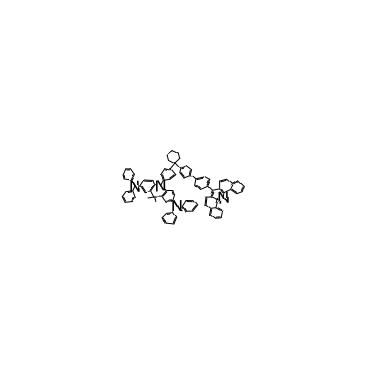 CC1(C)c2cc(N(c3ccccc3)c3ccccc3)ccc2N(c2ccc(C3(c4ccc(-c5ccc(-c6c7ccc8ccccc8c7nc7c6ccc6ccccc67)cc5)cc4)CCCCC3)cc2)c2ccc(N(c3ccccc3)c3ccccc3)cc21